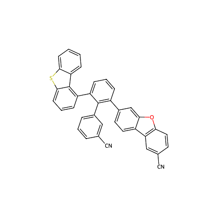 N#Cc1cccc(-c2c(-c3ccc4c(c3)oc3ccc(C#N)cc34)cccc2-c2cccc3sc4ccccc4c23)c1